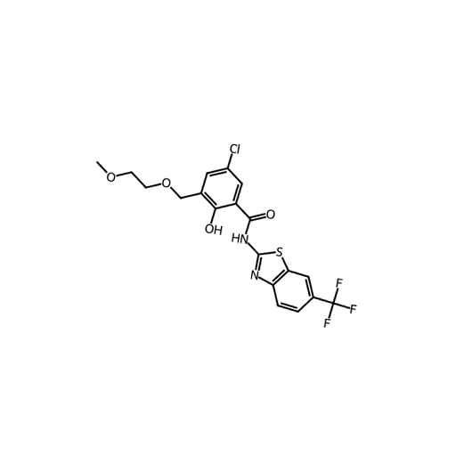 COCCOCc1cc(Cl)cc(C(=O)Nc2nc3ccc(C(F)(F)F)cc3s2)c1O